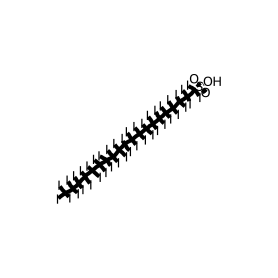 O=S(=O)(O)C(I)(I)C(I)(I)C(I)(I)C(I)(I)C(I)(I)C(I)(I)C(I)(I)C(I)(I)C(I)(I)C(I)(I)C(I)(I)C(I)(I)C(I)(I)C(I)(I)C(I)(I)C(I)(I)C(I)(I)C(I)(I)C(I)(I)C(I)(I)I